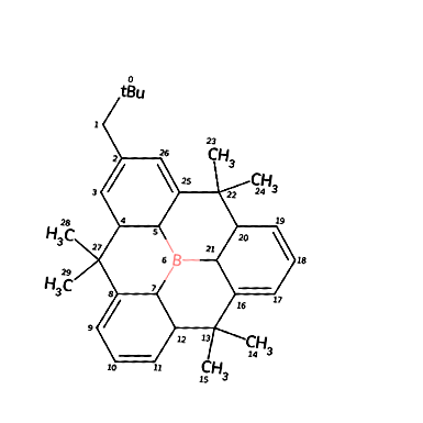 CC(C)(C)CC1=CC2C3B4C5C(=CC=CC5C(C)(C)C5=CC=CC(C45)C(C)(C)C3=C1)C2(C)C